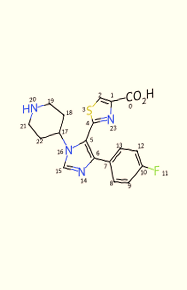 O=C(O)c1csc(-c2c(-c3ccc(F)cc3)ncn2C2CCNCC2)n1